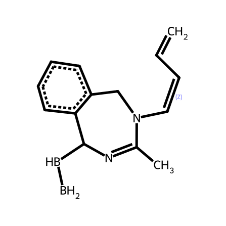 BBC1N=C(C)N(/C=C\C=C)Cc2ccccc21